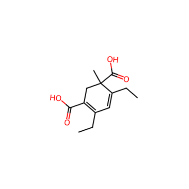 CCC1=CC(CC)=C(C(=O)O)CC1(C)C(=O)O